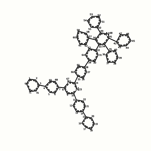 c1ccc(-c2ccc(-c3cc(-c4ccc(-c5ccccc5)cc4)nc(-c4ccc(-c5ccc(-c6c(-c7ccccc7)c(-c7ccccc7)nc(-c7ccccc7)c6-c6ccccc6)cc5)cc4)n3)cc2)cc1